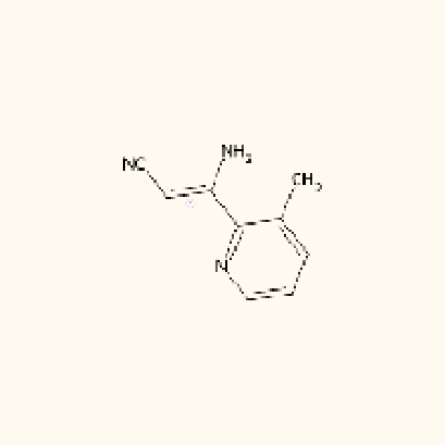 Cc1cccnc1/C(N)=C/C#N